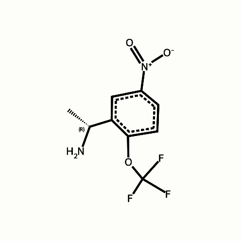 C[C@@H](N)c1cc([N+](=O)[O-])ccc1OC(F)(F)F